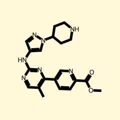 COC(=O)c1ccc(-c2nc(Nc3cnn(C4CCNCC4)c3)ncc2C)cn1